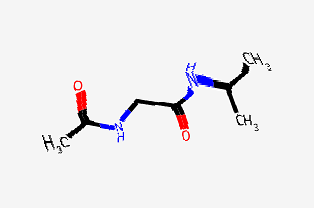 CC(=O)NCC(=O)NC(C)C